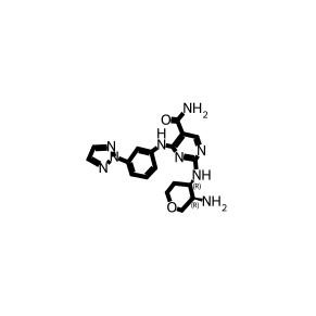 NC(=O)c1cnc(N[C@@H]2CCOC[C@@H]2N)nc1Nc1cccc(-n2nccn2)c1